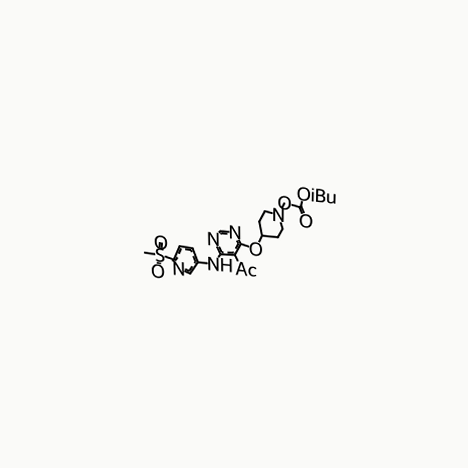 CC(=O)c1c(Nc2ccc(S(C)(=O)=O)nc2)ncnc1OC1CCN(OC(=O)OCC(C)C)CC1